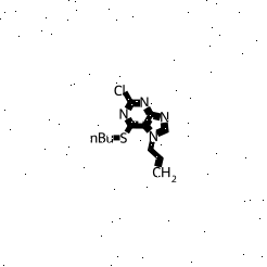 C=CCn1cnc2nc(Cl)nc(SCCCC)c21